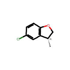 C[C@H]1COc2ccc(Cl)cc21